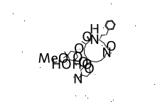 COC1(C)C[C@H](OC2C[C@@H](O[C@H]3CC(N(C)C)C[C@@H](C)O3)[C@](C)(O)CCCN(C)C(=O)C[C@H](CCc3ccccc3)NC(=O)C2C)O[C@@H](C)[C@@H]1O